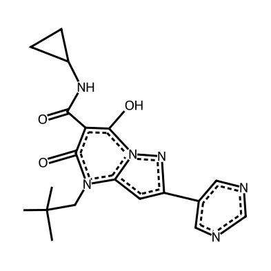 CC(C)(C)Cn1c(=O)c(C(=O)NC2CC2)c(O)n2nc(-c3cncnc3)cc12